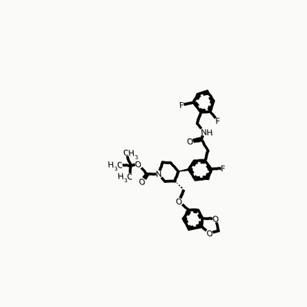 CC(C)(C)OC(=O)N1CC[C@@H](c2ccc(F)c(CC(=O)NCc3c(F)cccc3F)c2)[C@H](COc2ccc3c(c2)OCO3)C1